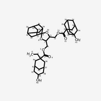 CCC1(C(=O)OCC2OC3(OC2COC(=O)C24CC5CC(CC(O)(C5)C2)C4)C2CC4CC(C2)CC3C4)CC2CC(O)CC(C2)C1